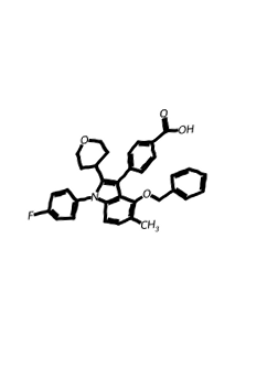 Cc1ccc2c(c1OCc1ccccc1)c(-c1ccc(C(=O)O)cc1)c(C1CCOCC1)n2-c1ccc(F)cc1